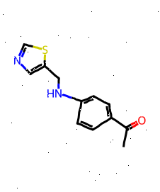 CC(=O)c1ccc(NCc2cncs2)cc1